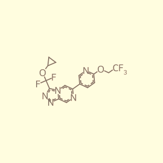 FC(F)(F)COc1ccc(-c2cn3c(C(F)(F)OC4CC4)nnc3cn2)cn1